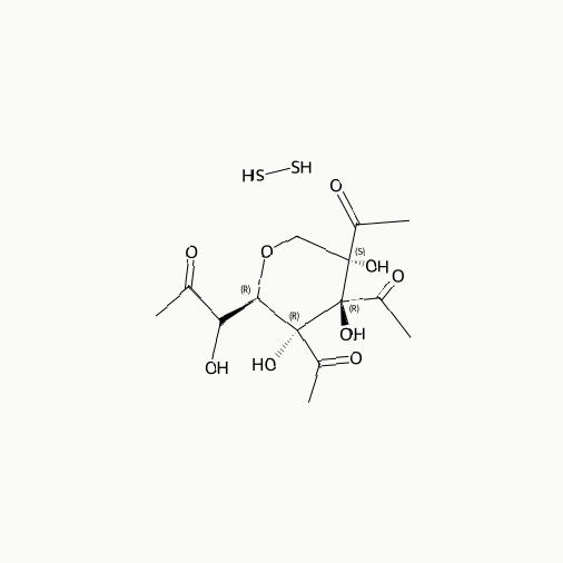 CC(=O)C(O)[C@H]1OC[C@@](O)(C(C)=O)[C@](O)(C(C)=O)[C@@]1(O)C(C)=O.SS